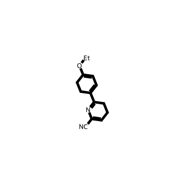 CCOC1=CC=C(C2=NC(C#N)=CCC2)CC1